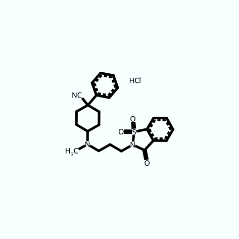 CN(CCCN1C(=O)c2ccccc2S1(=O)=O)C1CCC(C#N)(c2ccccc2)CC1.Cl